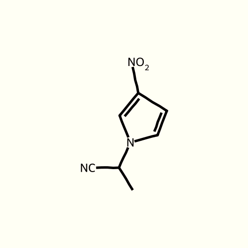 CC(C#N)n1ccc([N+](=O)[O-])c1